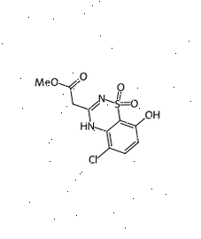 COC(=O)CC1=NS(=O)(=O)c2c(O)ccc(Cl)c2N1